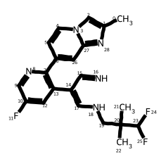 Cc1cn2ccc(-c3ncc(F)cc3/C(C=N)=C/NCC(C)(C)C(F)F)cc2n1